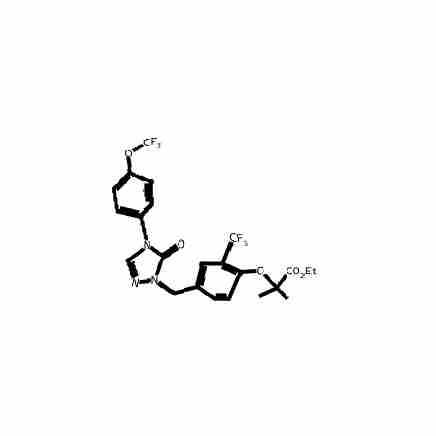 CCOC(=O)C(C)(C)Oc1ccc(Cn2ncn(-c3ccc(OC(F)(F)F)cc3)c2=O)cc1C(F)(F)F